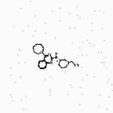 CC(C)CN1CCC[C@H](Nc2nc(N3CCCCCC3)c3ccccc3n2)C1